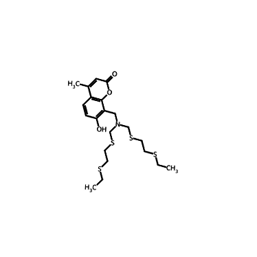 CCSCCSCN(CSCCSCC)Cc1c(O)ccc2c(C)cc(=O)oc12